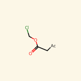 CC(=O)CC(=O)OCCl